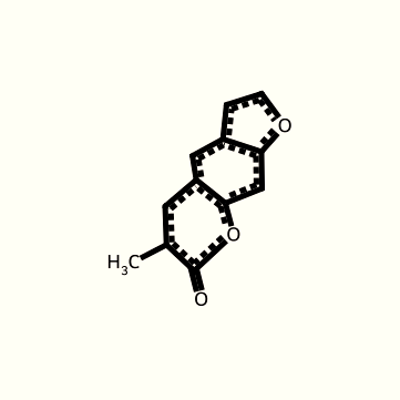 Cc1cc2cc3ccoc3cc2oc1=O